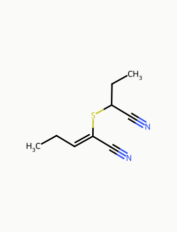 CCC=C(C#N)SC(C#N)CC